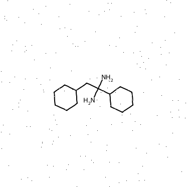 NC(N)(CC1CCCCC1)C1CCCCC1